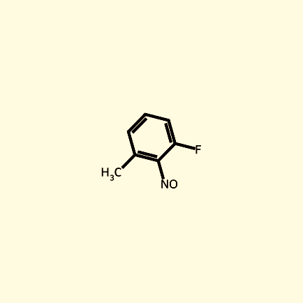 Cc1cccc(F)c1N=O